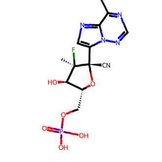 Cc1ncnn2c([C@]3(C#N)O[C@H](COP(=O)(O)O)[C@@H](O)[C@@]3(C)F)cnc12